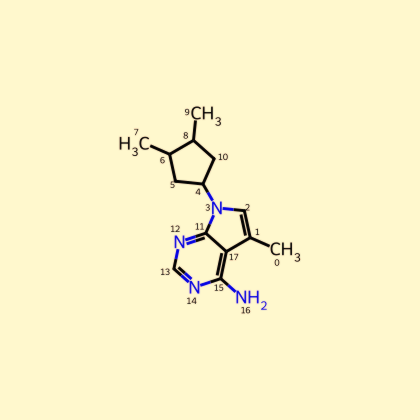 Cc1cn(C2CC(C)C(C)C2)c2ncnc(N)c12